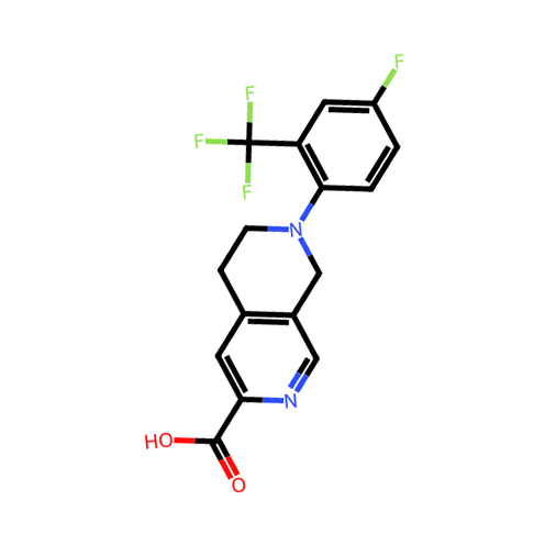 O=C(O)c1cc2c(cn1)CN(c1ccc(F)cc1C(F)(F)F)CC2